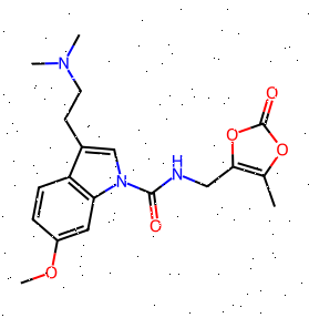 COc1ccc2c(CCN(C)C)cn(C(=O)NCc3oc(=O)oc3C)c2c1